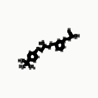 CC(C)(C)c1ccc(OCC(O)COc2cccc(CCC(=O)O)c2)cc1